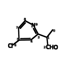 CC(C=O)c1cc(Cl)ccn1